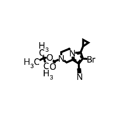 CC(C)(C)OC(=O)N1CCn2c(c(C#N)c(Br)c2C2CC2)C1